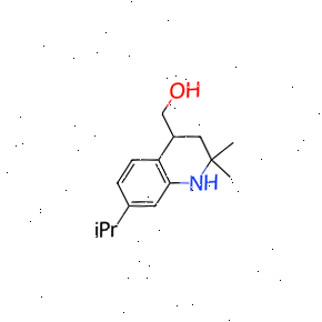 CC(C)c1ccc2c(c1)NC(C)(C)CC2CO